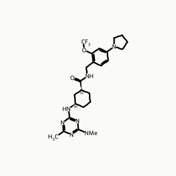 CNc1nc(C)nc(N[C@@H]2CCC[C@H](C(=O)NCc3ccc(N4CCCC4)cc3OC(F)(F)F)C2)n1